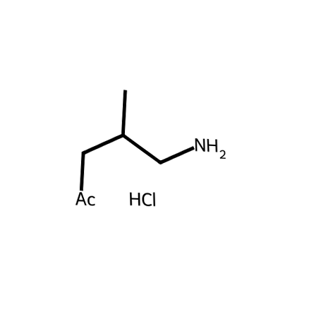 CC(=O)CC(C)CN.Cl